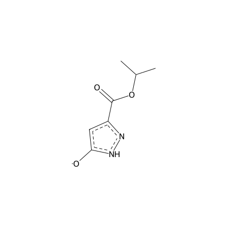 CC(C)OC(=O)c1cc([O])[nH]n1